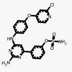 Nc1nc(Nc2ccc(Oc3ccnc(Cl)c3)cc2)cc(-c2cccc(OS(N)(=O)=O)c2)n1